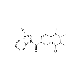 Cc1c(C)n(C)c2ccc(C(=O)c3nc(Br)c4ccccn34)cc2c1=O